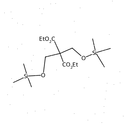 CCOC(=O)C(CO[Si](C)(C)C)(CO[Si](C)(C)C)C(=O)OCC